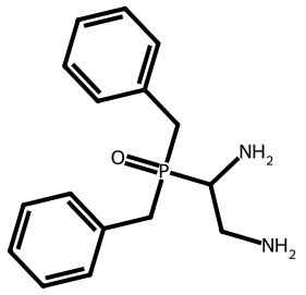 NCC(N)P(=O)(Cc1ccccc1)Cc1ccccc1